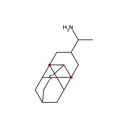 CC(N)C1CCC2(CC1)C1CC3CCC(C1)CC2C3